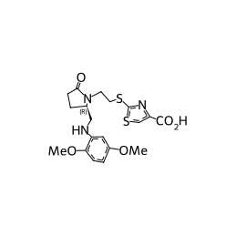 COc1ccc(OC)c(NC[C@H]2CCC(=O)N2CCSc2nc(C(=O)O)cs2)c1